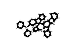 c1ccc(N(c2ccccc2)c2ccc3c(c2)C2(c4ccccc4-3)c3ccccc3-n3c4ccccc4c4c5oc6ccccc6c5cc2c43)cc1